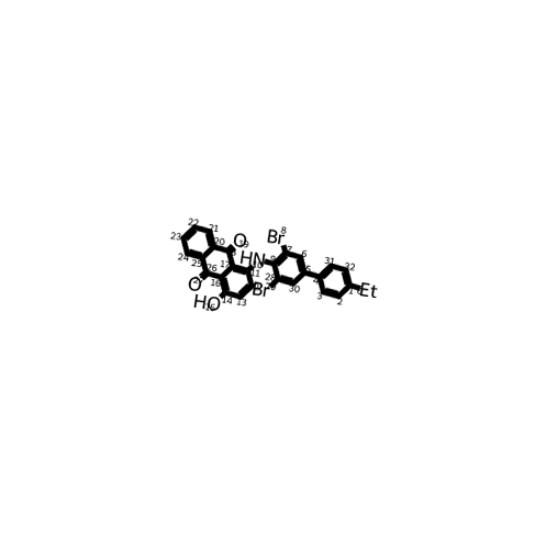 CCc1ccc(-c2cc(Br)c(Nc3ccc(O)c4c3C(=O)c3ccccc3C4=O)c(Br)c2)cc1